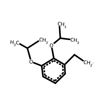 [CH2]Cc1cccc(OC(C)C)c1OC(C)C